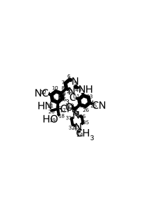 Cc1c(Nc2nccc(-c3cc(C#N)c4c(c3)[C@@](C)(CO)CN4)n2)cc(C#N)cc1C(=O)N1CCN(C)CC1